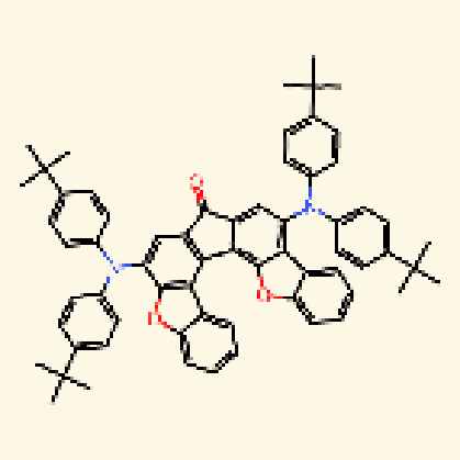 CC(C)(C)c1ccc(N(c2ccc(C(C)(C)C)cc2)c2cc3c(c4c2oc2ccccc24)-c2c(cc(N(c4ccc(C(C)(C)C)cc4)c4ccc(C(C)(C)C)cc4)c4c2oc2ccccc24)C3=O)cc1